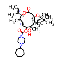 C/C=C(\C)[C@H]1OC(=O)C[C@H](O[Si](C)(C)C(C)(C)C)CC[C@@](C)(O)[C@@H](OC(=O)N2CCN(C3CCCCCC3)CC2)/C=C/[C@@H]1C